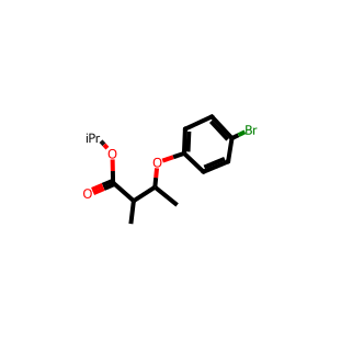 CC(C)OC(=O)C(C)C(C)Oc1ccc(Br)cc1